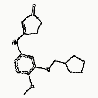 COc1ccc(NC2=CC(=O)CC2)cc1OCC1CCCC1